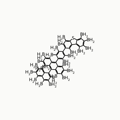 Bc1cc2c(-c3c(B)c(B)c(-c4c(B)c(B)c5sc6c(B)c(B)c(B)c(B)c6c5c4B)c(B)c3B)c3c(B)c(B)c(B)c(B)c3c(-c3c(B)c(B)c(B)c4c(B)c(B)c(B)c(B)c34)c2c(B)c1B